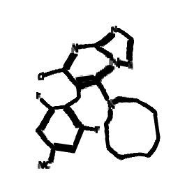 N#Cc1cc(F)c(-c2c(Cl)nc3ncnn3c2N2CCCCCCC2)c(F)c1